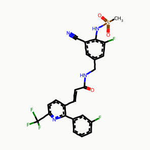 CS(=O)(=O)Nc1c(F)cc(CNC(=O)C=Cc2ccc(C(F)(F)F)nc2-c2cccc(F)c2)cc1C#N